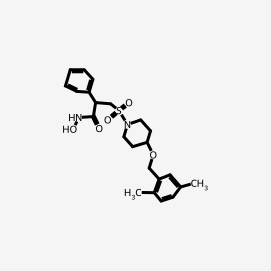 Cc1ccc(C)c(COC2CCN(S(=O)(=O)CC(C(=O)NO)c3ccccc3)CC2)c1